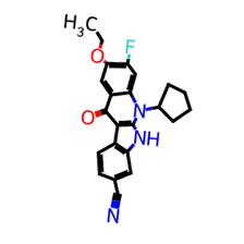 CCOc1cc2c(=O)c3c4ccc(C#N)cc4[nH]c3n(C3CCCC3)c2cc1F